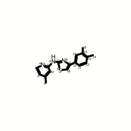 Cc1ccnc(Nc2nc(-c3ccc(C)c(C)c3)cs2)c1